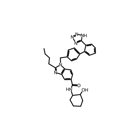 CCCCc1nc2cc(C(=O)NC3CCCCC3O)ccc2n1Cc1ccc(-c2ccccc2-c2nnn[nH]2)cc1